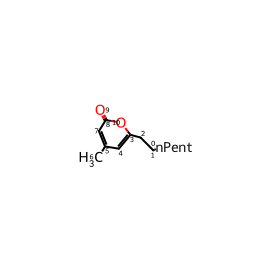 CCCCCCCc1cc(C)cc(=O)o1